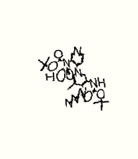 CC1=CN(c2ccncc2N(C(=O)O)C(=O)OC(C)(C)C)CC(NC(=O)OC(C)(C)C)=C1N=[N+]=[N-]